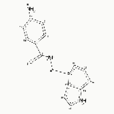 Nc1ccc(C(=O)NCc2cccc3[nH]ccc23)cc1